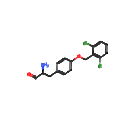 N[C@H]([C]=O)Cc1ccc(OCc2c(Cl)cccc2Cl)cc1